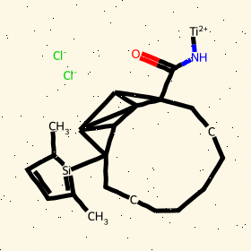 CC1=[Si](C23CCCCCCCCC4(C(=O)[NH][Ti+2])C5C46C2C536)C(C)C=C1.[Cl-].[Cl-]